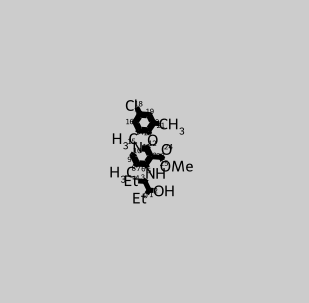 CCC(O)C(CC)Nc1c(C)cnc(Oc2c(C)cc(Cl)cc2C)c1C(=O)OC